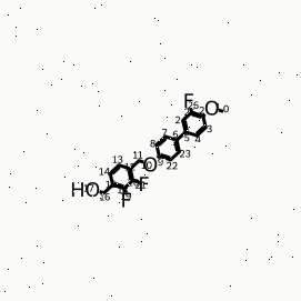 COc1ccc(-c2ccc(OCc3ccc(CO)c(F)c3F)cc2)cc1F